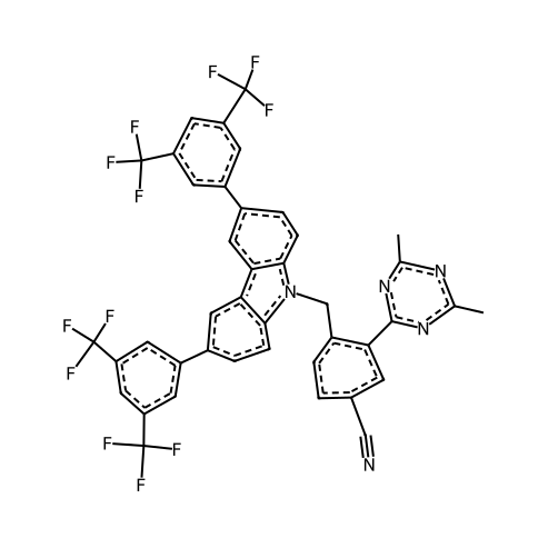 Cc1nc(C)nc(-c2cc(C#N)ccc2Cn2c3ccc(-c4cc(C(F)(F)F)cc(C(F)(F)F)c4)cc3c3cc(-c4cc(C(F)(F)F)cc(C(F)(F)F)c4)ccc32)n1